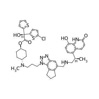 C[C@@H](CNCc1cc2nnn(CCCN(C)[C@H]3CC[C@H](OC(=O)[C@](O)(c4cccs4)c4ccc(Cl)s4)CC3)c2c2c1CCC2)c1ccc(O)c2[nH]c(=O)ccc12